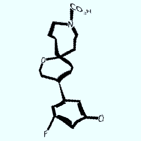 O=C(O)N1CCC2(CC1)C[C@@H](c1cc(F)cc(Cl)c1)CO2